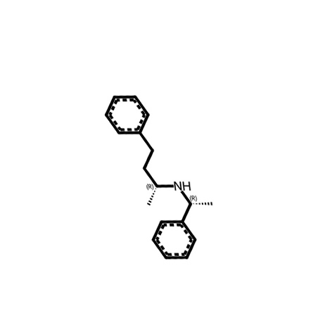 C[C@H](CCc1ccccc1)N[C@H](C)c1ccccc1